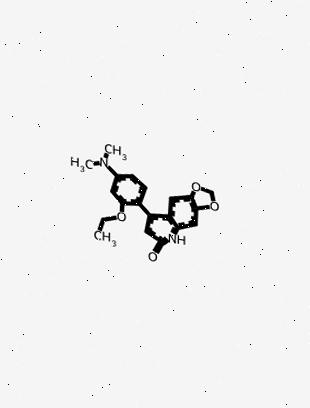 CCOc1cc(N(C)C)ccc1-c1cc(=O)[nH]c2cc3c(cc12)OCO3